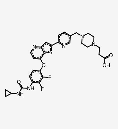 O=C(O)CCN1CCN(Cc2ccc(-c3cc4nccc(Oc5ccc(NC(=O)NC6CC6)c(F)c5F)c4s3)nc2)CC1